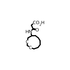 O=C(O)CC(=O)NC1CCCCCCCCCC1